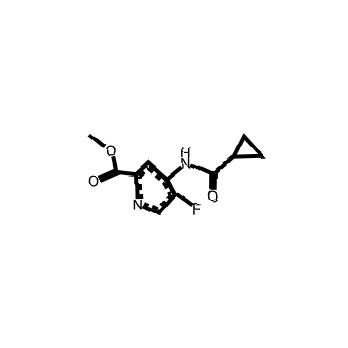 COC(=O)c1cc(NC(=O)C2CC2)c(F)cn1